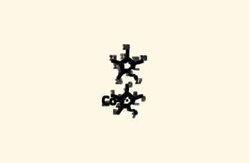 Cc1c(C)c(C)[c-](C)c1C.Cc1c(C)c(C)[c-](C)c1C.[Co+2]